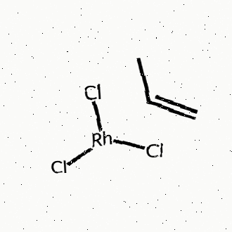 C=CC.[Cl][Rh]([Cl])[Cl]